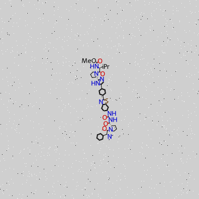 COC(=O)N[C@H](C(=O)N1CCC[C@H]1c1ncc(-c2ccc(-c3nc4ccc(NC(=O)NC(=O)[C@@H]5CCCN5C(=O)[C@@H](c5ccccc5)N(C)C)cc4s3)cc2)[nH]1)C(C)C